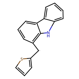 [CH](c1cccs1)c1cccc2c1[nH]c1ccccc12